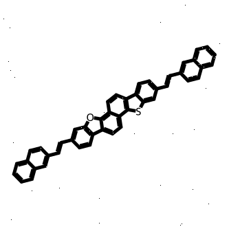 C(=C\c1ccc2c(c1)oc1c2ccc2c1ccc1c3ccc(/C=C/c4ccc5ccccc5c4)cc3sc12)/c1ccc2ccccc2c1